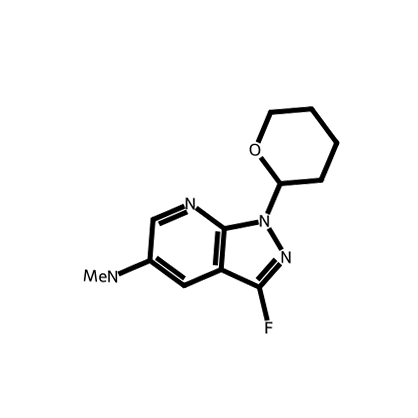 CNc1cnc2c(c1)c(F)nn2C1CCCCO1